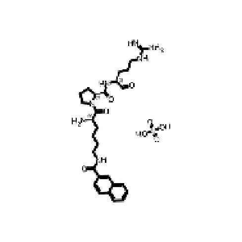 N=C(N)NCCC[C@@H](C=O)NC(=O)[C@@H]1CCCN1C(=O)[C@H](N)CCCCNC(=O)c1ccc2ccccc2c1.O=S(=O)(O)O